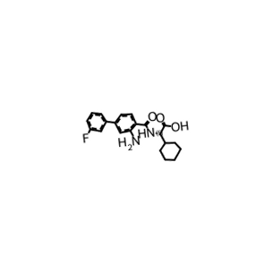 Nc1cc(-c2cccc(F)c2)ccc1C(=O)N[C@H](C(=O)O)C1CCCCC1